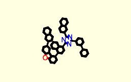 c1ccc(-c2cccc(-c3nc(-c4ccc5ccccc5c4)nc(-c4ccc(-c5cccc6oc7ccc(-c8ccc9ccccc9c8)cc7c56)c5ccccc45)n3)c2)cc1